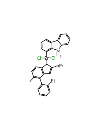 CCCC1=Cc2c(ccc(C)c2-c2ccccc2CC)[CH]1[Zr]([Cl])([Cl])[c]1cccc2c1[SiH2]c1ccccc1-2